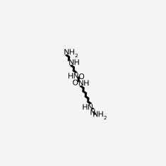 NCCCNCCCCNC(=O)C(=O)NCCCCCCCCNC=NN